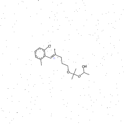 C/C(=C\c1c(C)cccc1Cl)CCCOC(C)(C)OC(C)O